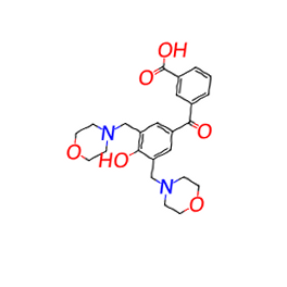 O=C(O)c1cccc(C(=O)c2cc(CN3CCOCC3)c(O)c(CN3CCOCC3)c2)c1